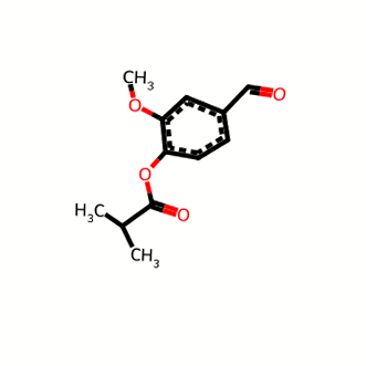 COc1cc(C=O)ccc1OC(=O)C(C)C